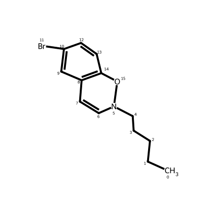 CCCCCN1C=Cc2cc(Br)ccc2O1